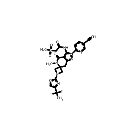 C#Cc1ccc(-n2nc3c(c2NC(=O)CS(C)(=O)=O)C(=O)N(C)C2(C3)CN(c3nc(C(C)(F)F)co3)C2)nc1